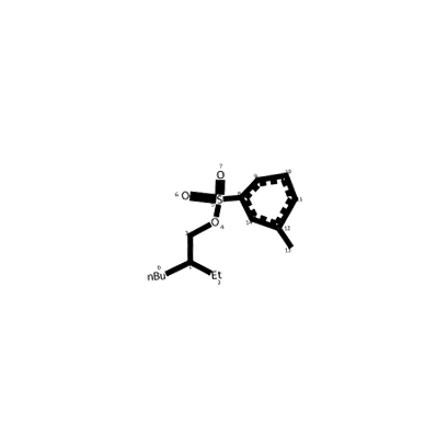 CCCCC(CC)COS(=O)(=O)c1cccc(C)c1